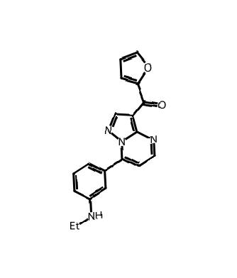 CCNc1cccc(-c2ccnc3c(C(=O)c4ccco4)cnn23)c1